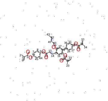 C=C(C)C(=O)Oc1ccc(OC(=O)/C=C/c2cc(OC(=O)C(=C)C)c(-c3ccc(OC(=O)C(=C)C)cc3)cc2OC/C=C/C)cc1